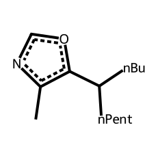 CCCCCC(CCCC)c1ocnc1C